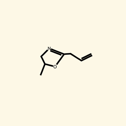 C=CCC1=NCC(C)O1